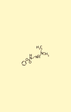 CCCN(C)CCNCCNC(=O)Oc1ccccc1